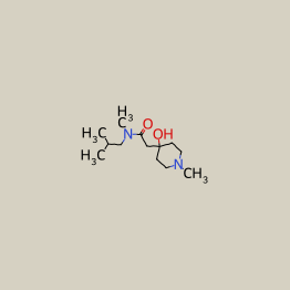 CC(C)CN(C)C(=O)CC1(O)CCN(C)CC1